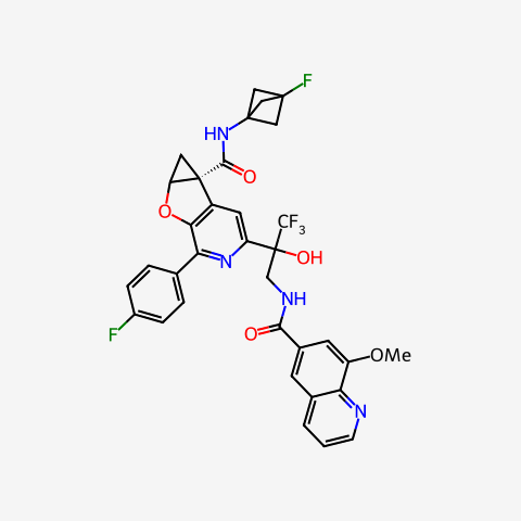 COc1cc(C(=O)NCC(O)(c2cc3c(c(-c4ccc(F)cc4)n2)OC2C[C@@]32C(=O)NC23CC(F)(C2)C3)C(F)(F)F)cc2cccnc12